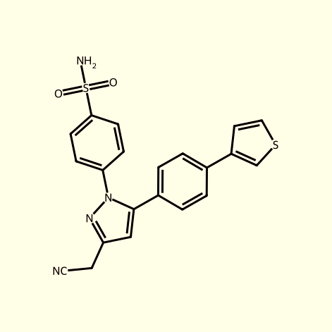 N#CCc1cc(-c2ccc(-c3ccsc3)cc2)n(-c2ccc(S(N)(=O)=O)cc2)n1